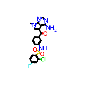 Cn1cc(C(=O)c2cccc(NS(=O)(=O)c3ccc(F)cc3Cl)c2)c2c(N)ncnc21